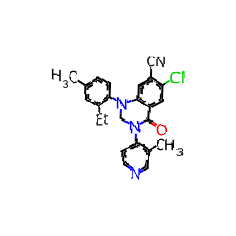 CCc1cc(C)ccc1N1CN(c2ccncc2C)C(=O)c2cc(Cl)c(C#N)cc21